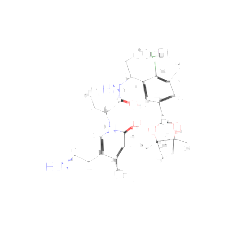 CCOC(=O)CC(NC(=O)C(CC(C)C)n1cc(CCN)c(C(F)(F)F)cc1=O)c1cc(B2OC(C)(C)C(C)(C)O2)cc(C)c1F